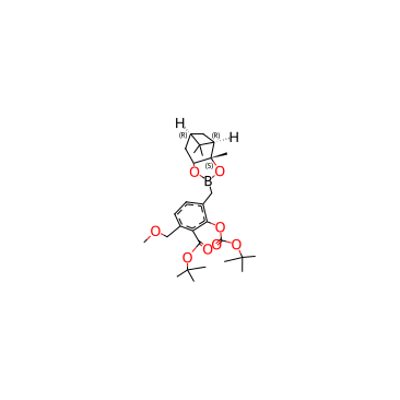 COCc1ccc(CB2OC3C[C@H]4C[C@H](C4(C)C)[C@]3(C)O2)c(OC(=O)OC(C)(C)C)c1C(=O)OC(C)(C)C